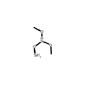 CO[SiH](OC)O[SiH3]